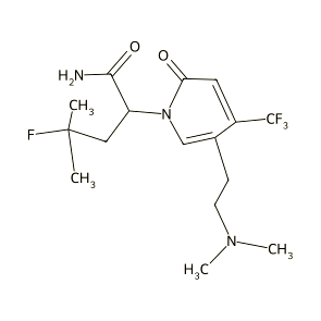 CN(C)CCc1cn(C(CC(C)(C)F)C(N)=O)c(=O)cc1C(F)(F)F